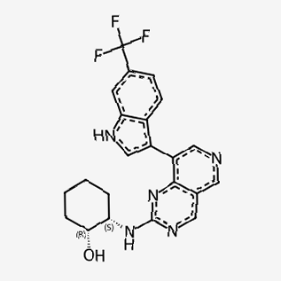 O[C@@H]1CCCC[C@@H]1Nc1ncc2cncc(-c3c[nH]c4cc(C(F)(F)F)ccc34)c2n1